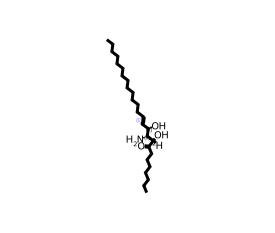 [2H]C(O)(C(=O)CCCCCCC)[C@H](N)[C@H](O)/C=C/CCCCCCCCCCCCC